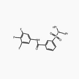 CCCN(CCC)S(=O)(=O)c1cccc(C(=O)Nc2cc(F)c(F)c(F)c2)c1